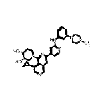 CN1CCN(c2cccc(Nc3cc(-c4nc(N5CC[C@@H](O)[C@H](O)C5)c5c(C6CC6)cncc5n4)ccn3)c2)CC1